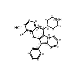 Cl.O=C(c1c(Cc2c(F)cccc2Cl)c(-c2ccccc2)c2ccccn12)N1CCNCC1